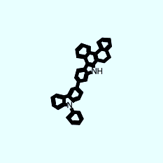 c1ccc(-n2c3ccccc3c3cc(-c4ccc5c(c4)[nH]c4c6c(c7ccccc7c45)-c4ccccc4CC6)ccc32)cc1